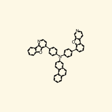 c1ccc2c(c1)ccc1cc(N(c3ccc(-c4cccc5c4oc4cnccc45)cc3)c3ccc(-c4ccnc5c4oc4ccccc45)cc3)ccc12